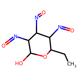 CCC1OC(O)C(N=O)C(N=O)C1N=O